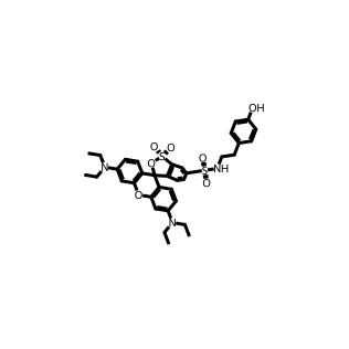 CCN(CC)c1ccc2c(c1)Oc1cc(N(CC)CC)ccc1C21OS(=O)(=O)c2cc(S(=O)(=O)NCCc3ccc(O)cc3)ccc21